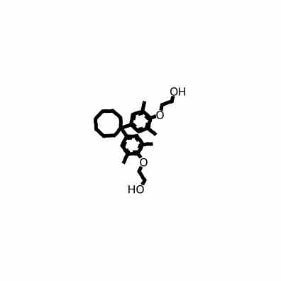 Cc1cc(C2(c3cc(C)c(OCCO)c(C)c3)CCCCCCC2)cc(C)c1OCCO